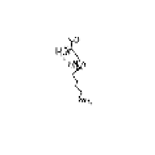 CC(=O)C(N)CNC(=O)CCCCCN